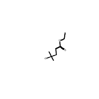 CCOC(=O)CCC(C)(C)Cl